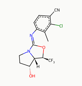 Cc1c(/N=C2\O[C@@H](C(F)(F)F)[C@@H]3[C@H](O)CCN23)ccc(C#N)c1Cl